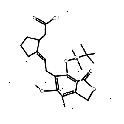 COc1c(C)c2c(c(O[Si](C)(C)C(C)(C)C)c1CC=C1CCCC1CC(=O)O)C(=O)OC2